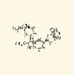 Cc1nc2ccc(N3CCNC(C)C3)nn2c1-c1ccnc(N)c1